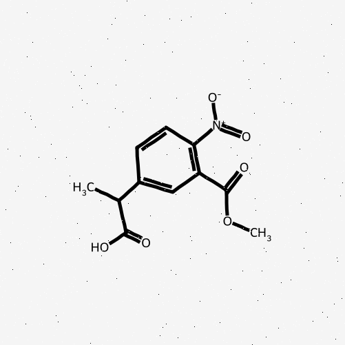 COC(=O)c1cc(C(C)C(=O)O)ccc1[N+](=O)[O-]